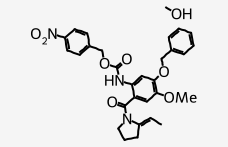 C/C=C1\CCCN1C(=O)c1cc(OC)c(OCc2ccccc2)cc1NC(=O)OCc1ccc([N+](=O)[O-])cc1.CO